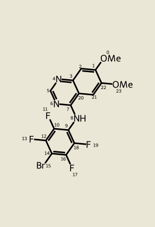 COc1cc2ncnc(Nc3c(F)c(F)c(Br)c(F)c3F)c2cc1OC